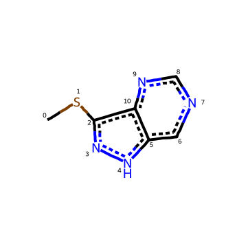 CSc1n[nH]c2cncnc12